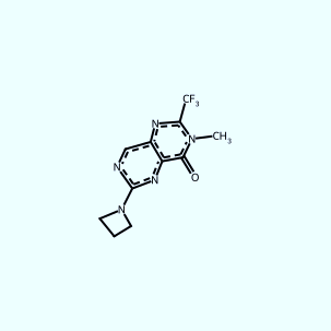 Cn1c(C(F)(F)F)nc2cnc(N3CCC3)nc2c1=O